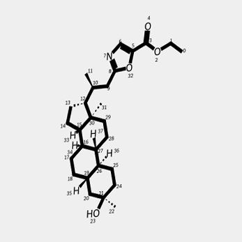 CCOC(=O)c1cnc(C[C@H](C)[C@H]2CC[C@H]3[C@@H]4CC[C@H]5C[C@](C)(O)CC[C@@H]5[C@H]4CC[C@]23C)o1